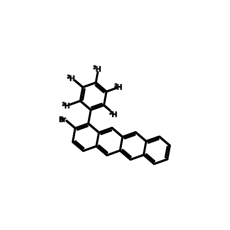 [2H]c1c([2H])c([2H])c(-c2c(Br)ccc3cc4cc5ccccc5cc4cc23)c([2H])c1[2H]